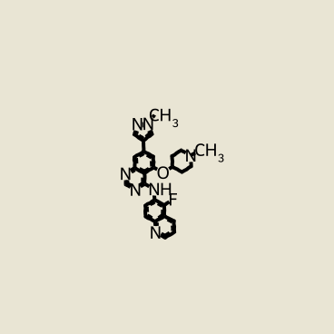 CN1CCC(Oc2cc(-c3cnn(C)c3)cc3ncnc(Nc4ccc5ncccc5c4F)c23)CC1